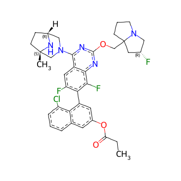 CCC(=O)Oc1cc(-c2c(F)cc3c(N4C[C@H]5CC[C@@](C)(C4)N5)nc(OCC45CCCN4C[C@H](F)C5)nc3c2F)c2c(Cl)cccc2c1